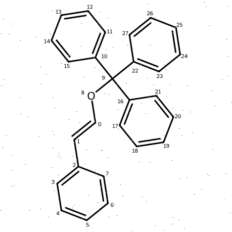 C(=Cc1ccccc1)OC(c1ccccc1)(c1ccccc1)c1ccccc1